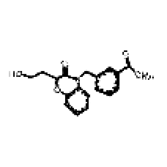 COC(=O)c1cccc(CN2C(=O)C(CCO)Oc3ccccc32)c1